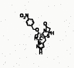 C[C@@]1(Cc2c[nH]nn2)S[C@H]2CC(=O)N2[C@H]1C(=O)OCc1ccc([N+](=O)[O-])cc1